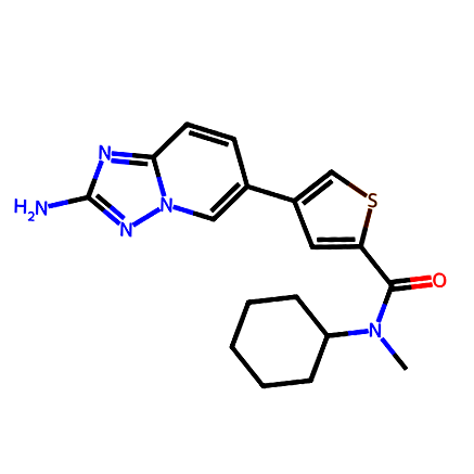 CN(C(=O)c1cc(-c2ccc3nc(N)nn3c2)cs1)C1CCCCC1